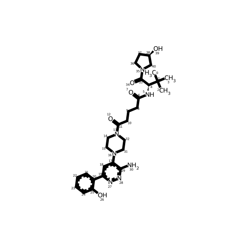 CC(C)(C)[C@H](NC(=O)CCCC(=O)N1CCN(c2cc(-c3ccccc3O)nnc2N)CC1)C(=O)N1CC[C@@H](O)C1